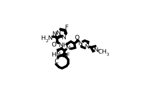 CN1CC(N2CCN(C(=O)C3CCN(C4C(NC(=O)c5c(N)nn6cc(F)cnc56)CNC5(CCCCCCCCC5)C4F)CC3)CC2)C1